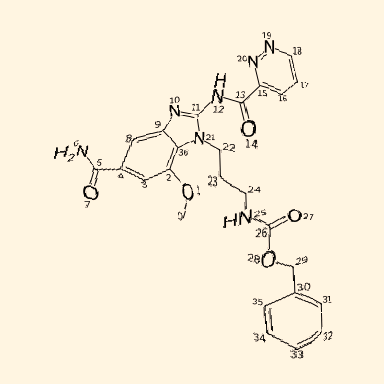 COc1cc(C(N)=O)cc2nc(NC(=O)c3cccnn3)n(CCCNC(=O)OCc3ccccc3)c12